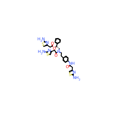 Nc1nc(CC(=O)Nc2ccc(CCN(C[C@H](OC(=O)Cc3csc(N)n3)c3ccccc3)C(=O)Cc3csc(N)n3)cc2)cs1